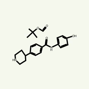 CC(C)(C)OC=O.O=C(Nc1ccc(O)cc1)c1ccc(C2CCNCC2)cc1